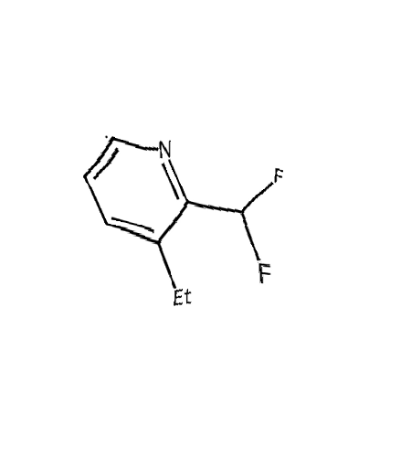 CCc1cc[c]nc1C(F)F